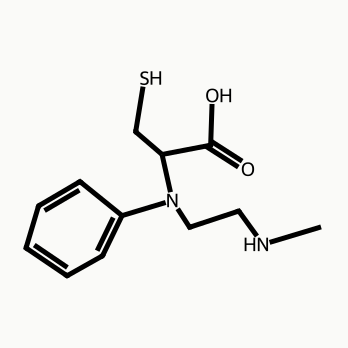 CNCCN(c1ccccc1)C(CS)C(=O)O